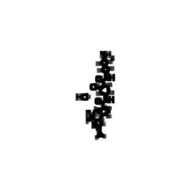 Cl.Cn1c(-c2cn(C3CC3)nc2C(F)(F)F)cnc1C(=O)Nc1ccc(C(=O)NC2CC3(CC(N)C3)C2)c(Cl)c1